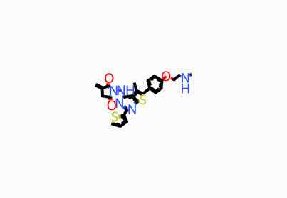 C=C1CC(=O)N(Nc2nc(-c3cccs3)nc3sc(-c4ccc(OCCNC)cc4)c(C)c23)C1=O